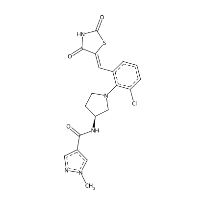 Cn1cc(C(=O)N[C@H]2CCN(c3c(Cl)cccc3/C=C3\SC(=O)NC3=O)C2)cn1